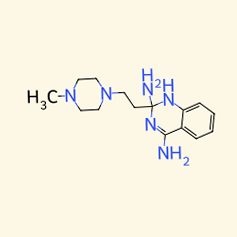 CN1CCN(CCC2(N)N=C(N)c3ccccc3N2)CC1